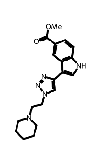 COC(=O)c1ccc2[nH]cc(-c3cn(CCN4CCCCC4)nn3)c2c1